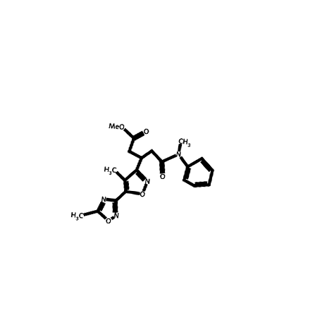 COC(=O)CC(CC(=O)N(C)c1ccccc1)c1noc(-c2noc(C)n2)c1C